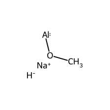 C[O][Al].[H-].[Na+]